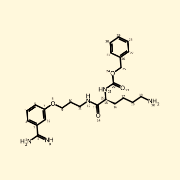 N=C(N)c1cccc(OCCCNC(=O)[C@H](CCCCN)NC(=O)OCc2ccccc2)c1